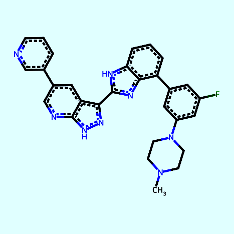 CN1CCN(c2cc(F)cc(-c3cccc4[nH]c(-c5n[nH]c6ncc(-c7cccnc7)cc56)nc34)c2)CC1